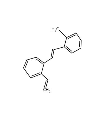 C=Cc1ccccc1C=Cc1ccccc1C